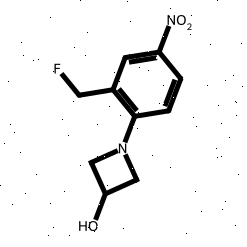 O=[N+]([O-])c1ccc(N2CC(O)C2)c(CF)c1